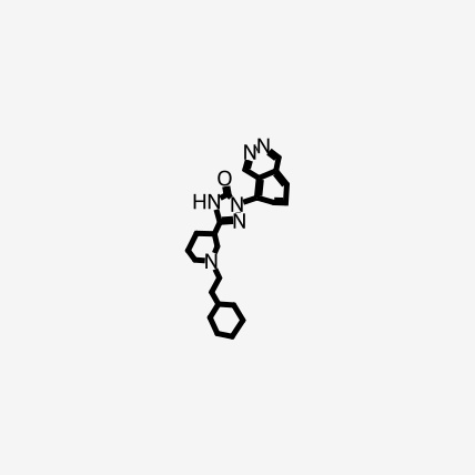 O=c1[nH]c(C2CCCN(CCC3CCCCC3)C2)nn1-c1cccc2cnncc12